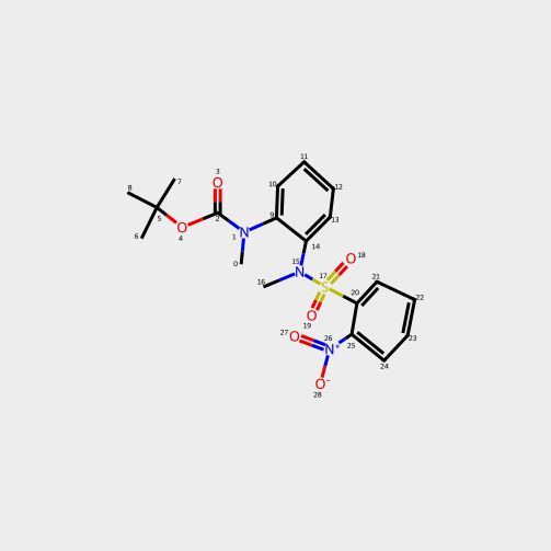 CN(C(=O)OC(C)(C)C)c1ccccc1N(C)S(=O)(=O)c1ccccc1[N+](=O)[O-]